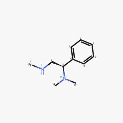 CC(C)NC[C@@H](c1ccccc1)N(C)C